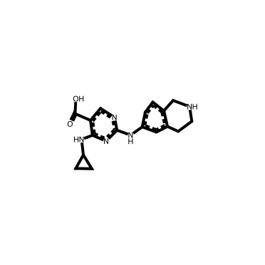 O=C(O)c1cnc(Nc2ccc3c(c2)CCNC3)nc1NC1CC1